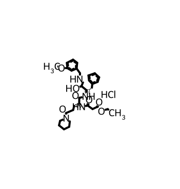 CCOC(=O)CC(=O)N[C@H](CCC(=O)N1CCCCC1)C(=O)N[C@@H](Cc1ccccc1)C(O)CNCc1cccc(OC)c1.Cl